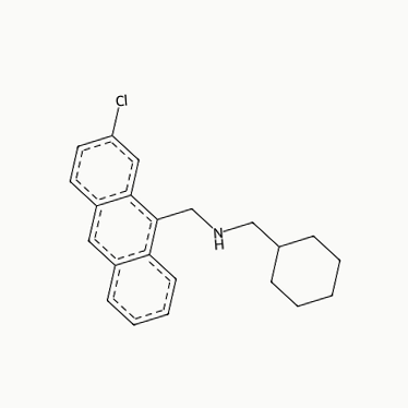 Clc1ccc2cc3ccccc3c(CNCC3CCCCC3)c2c1